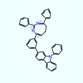 C1=C(c2cccc(-c3ccc4c5ccccc5n(-c5ccccc5)c4c3)c2)/N=C(c2ccccc2)\N=C(\c2ccccc2)CC\1